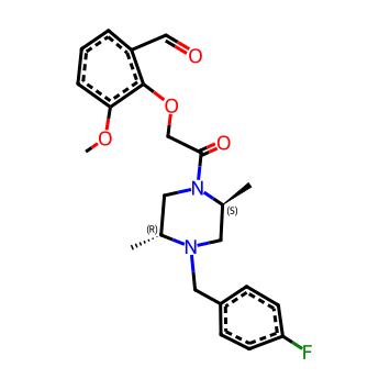 COc1cccc(C=O)c1OCC(=O)N1C[C@@H](C)N(Cc2ccc(F)cc2)C[C@@H]1C